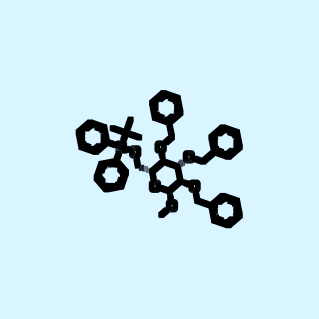 CO[C@H]1O[C@H](CO[Si](c2ccccc2)(c2ccccc2)C(C)(C)C)[C@@H](OCc2ccccc2)[C@H](OCc2ccccc2)[C@H]1OCc1ccccc1